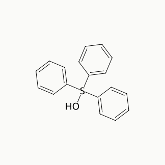 OS(c1ccccc1)(c1ccccc1)c1ccccc1